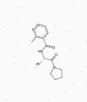 Cc1ncccc1C(=O)N[C@H](C(=O)N1CCCC1)C(C)C